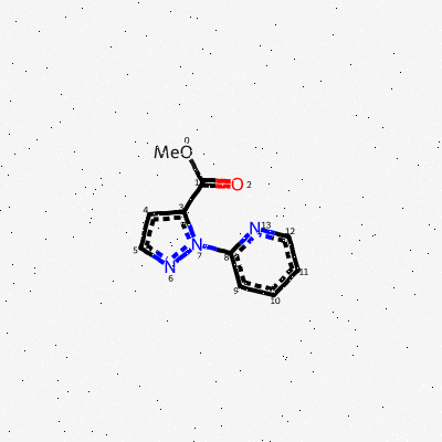 COC(=O)c1ccnn1-c1ccccn1